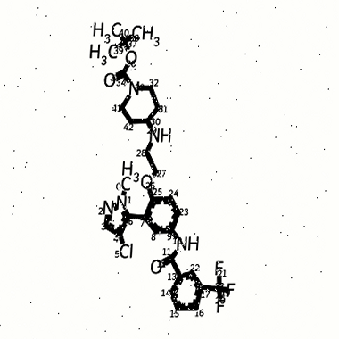 Cn1ncc(Cl)c1-c1cc(NC(=O)c2cccc(C(F)(F)F)c2)ccc1OCCNC1CCN(C(=O)OC(C)(C)C)CC1